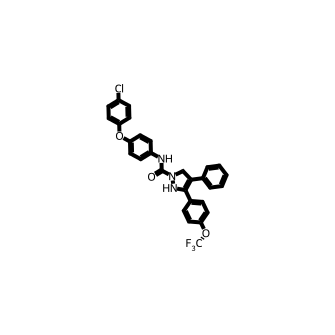 O=C(Nc1ccc(Oc2ccc(Cl)cc2)cc1)N1CC(c2ccccc2)=C(c2ccc(OC(F)(F)F)cc2)N1